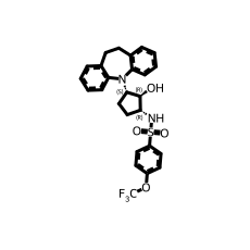 O=S(=O)(N[C@@H]1CC[C@H](N2c3ccccc3CCc3ccccc32)[C@H]1O)c1ccc(OC(F)(F)F)cc1